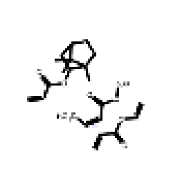 C=CC(=O)OC1CC2CCC1(C)C2(C)C.C=COC(=O)C=C.CCCCOC(=O)/C=C\C(=O)O